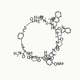 CCC[C@@H]1NC(=O)CCSCc2cccc(c2)CSC[C@@H](C(N)=O)NC(=O)[C@@H]2CCCN2C(=O)[C@H](Cc2ccc(OC)cc2)NC(=O)[C@H]([C@@H](C)OC)N(C)C(=O)[C@@H]2CCCN2C(=O)[C@H](Cc2cn(C)c3ccccc23)N(C)C(=O)[C@H](Cc2ccc3ccccc3c2)NC(=O)[C@@H](CC(C)C)N(C)C1=O